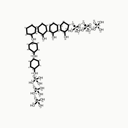 O=P(O)(O)O.O=P(O)(O)O.O=P(O)(O)O.O=P(O)(O)O.O=P(O)(O)O.O=P(O)(O)O.OC1CCCCC1.OC1CCCCC1.OC1CCCCC1.OC1CCCCC1.OC1CCCCC1.OC1CCCCC1